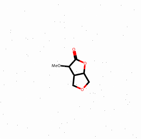 COC1C(=O)OC2COCC21